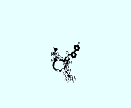 CC(C)(C)OC(=O)N[C@@H]1CCCCC/C=C\[C@H]2C[C@@]2(C(=O)NS(=O)(=O)C2CC2)NC(=O)[C@@H]2[C@H]3CN(C(=O)c4cccc(-c5ccc(F)cc5)c4)C[C@H]3CN2C1=O